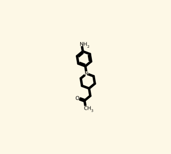 CC(=O)CC1CCN(c2ccc(N)cc2)CC1